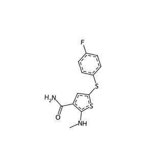 CNc1sc(Sc2ccc(F)cc2)cc1C(N)=O